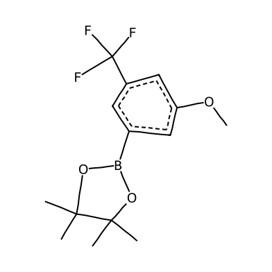 COc1cc(B2OC(C)(C)C(C)(C)O2)cc(C(F)(F)F)c1